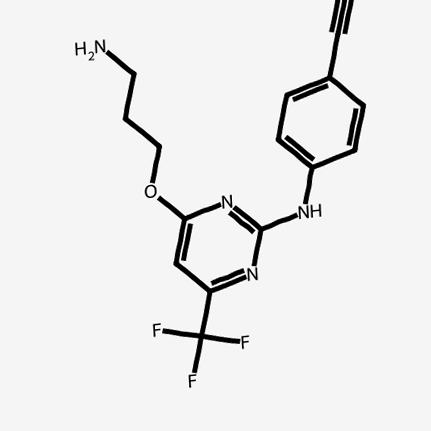 N#Cc1ccc(Nc2nc(OCCCN)cc(C(F)(F)F)n2)cc1